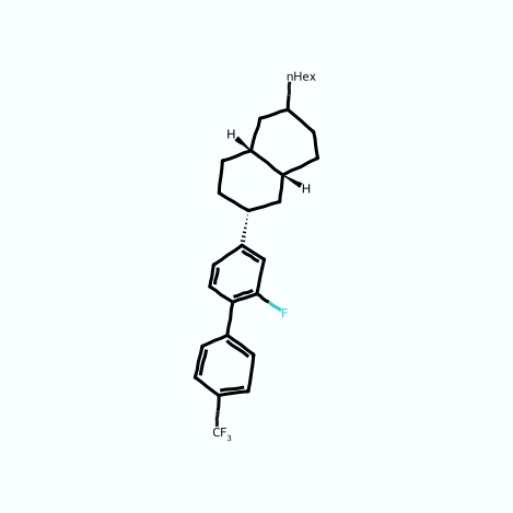 CCCCCCC1CC[C@@H]2C[C@H](c3ccc(-c4ccc(C(F)(F)F)cc4)c(F)c3)CC[C@@H]2C1